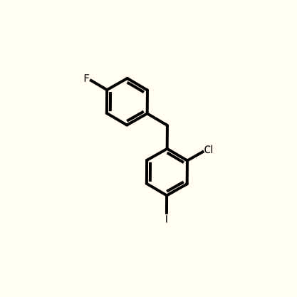 Fc1ccc(Cc2ccc(I)cc2Cl)cc1